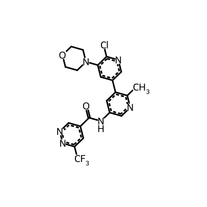 Cc1ncc(NC(=O)c2cnnc(C(F)(F)F)c2)cc1-c1cnc(Cl)c(N2CCOCC2)c1